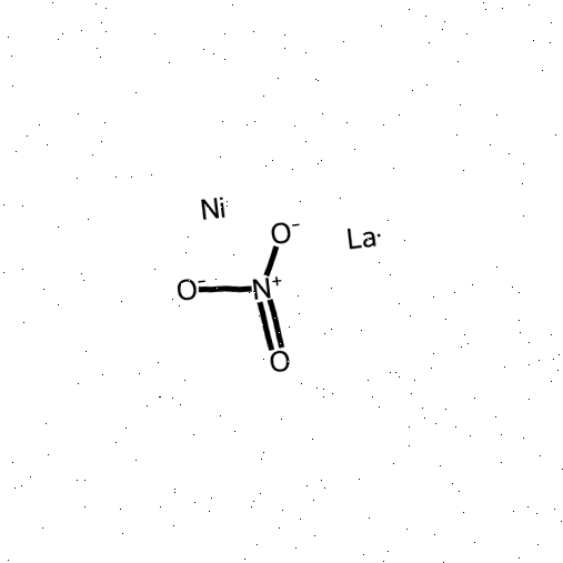 O=[N+]([O-])[O-].[La].[Ni]